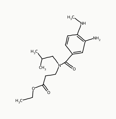 CCOC(=O)CCN(CC(C)C)C(=O)c1ccc(NC)c(N)c1